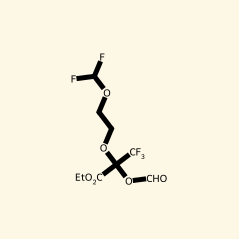 CCOC(=O)C(OC=O)(OCCOC(F)F)C(F)(F)F